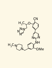 COc1cc(CN2CCN(C)CC2)ccc1Nc1ncc(-c2ccc(C#N)c(OC(C)Cn3cnnn3)c2)cn1